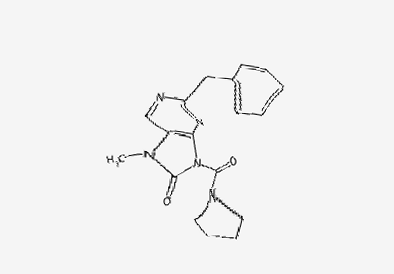 Cn1c(=O)n(C(=O)N2CCCC2)c2nc(Cc3ccccc3)ncc21